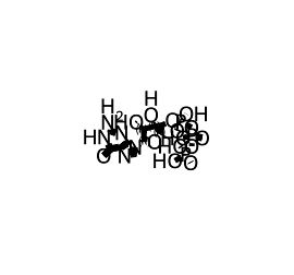 C[C@]12O[C@@H](n3cnc4c(=O)[nH]c(N)nc43)[C@H](O)[C@@]1(O)C2OP(=O)(O)OP(=O)(O)OP(=O)(O)O